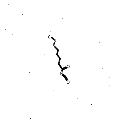 O=C=NC(=O)CCCCSSCl